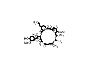 C=CCC1CCN2C(=O)C(=O)C3(O)OC(C(OC)CC(C)C/C(C)=C/CC(=O)CC(O)C(C)C(C(C)=CC4CCC(O)C(OC)C4)OC(=O)C2C1)C(OC)CC3C